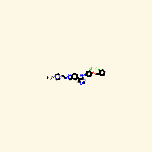 CN1CCN(CCn2cc3c(n2)CCc2c-3sc3ncnc(Nc4ccc(OCc5ccccc5Cl)c(Cl)c4)c23)CC1